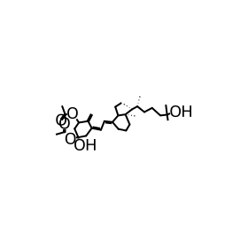 C=C1/C(=C\C=C2CCC[C@@]3(C)C2CC[C@@H]3[C@H](C)CCCC(C)(C)O)C[C@](O)(OC(C)=O)CC1OC(C)=O